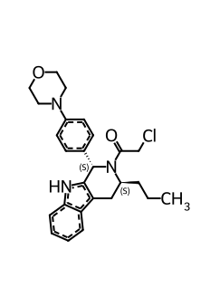 CCC[C@H]1Cc2c([nH]c3ccccc23)[C@H](c2ccc(N3CCOCC3)cc2)N1C(=O)CCl